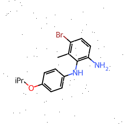 Cc1c(Br)ccc(N)c1Nc1ccc(OC(C)C)cc1